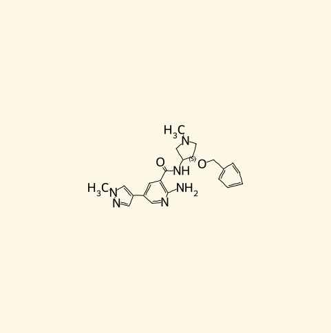 CN1CC(NC(=O)c2cc(-c3cnn(C)c3)cnc2N)[C@@H](OCc2ccccc2)C1